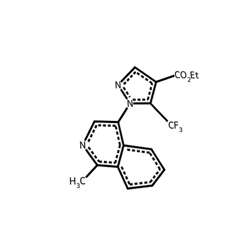 CCOC(=O)c1cnn(-c2cnc(C)c3ccccc23)c1C(F)(F)F